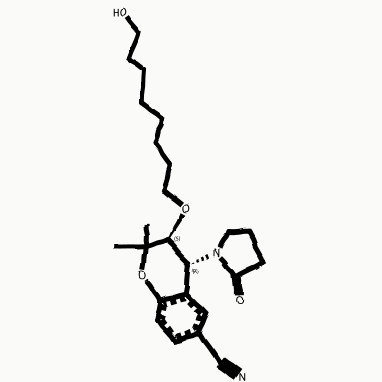 CC1(C)Oc2ccc(C#N)cc2[C@@H](N2CCCC2=O)[C@@H]1OCCCCCCCCO